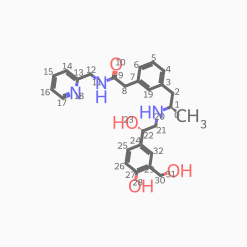 C[C@H](Cc1cccc(CC(=O)NCc2ccccn2)c1)NC[C@@H](O)c1ccc(O)c(CO)c1